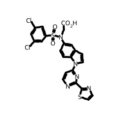 O=C(O)CN(c1ccc2c(ccn2-c2ccnc(-c3nccs3)n2)c1)S(=O)(=O)c1cc(Cl)cc(Cl)c1